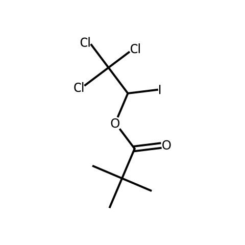 CC(C)(C)C(=O)OC(I)C(Cl)(Cl)Cl